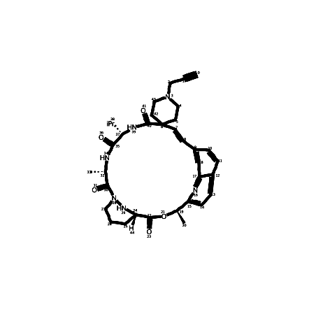 C#CCN1CCC2(/C=C/c3ccc4ccc(nc4c3)[C@@H](C)OC(=O)[C@@H]3CCCN(N3)C(=O)[C@H](C)NC(=O)[C@H](C(C)C)NC2=O)CC1